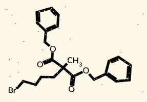 CC(CCCCBr)(C(=O)OCc1ccccc1)C(=O)OCc1ccccc1